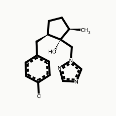 C[C@@H]1CC[C@H](Cc2ccc(Cl)cc2)[C@]1(O)Cn1cncn1